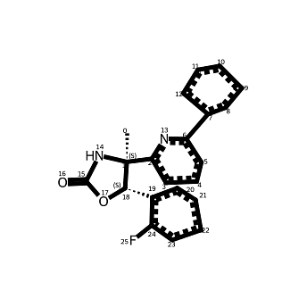 C[C@@]1(c2cccc(-c3ccccc3)n2)NC(=O)O[C@H]1c1ccccc1F